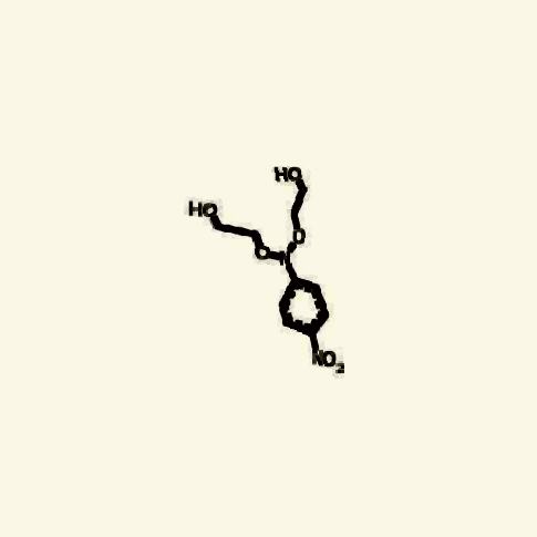 O=[N+]([O-])c1ccc(N(OCCO)OCCO)cc1